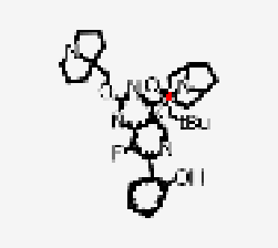 CC(C)(C)OC(=O)N1C2CCC1CN(c1nc(OCC34CCCN3CCC4)nc3c(F)c(-c4ccccc4O)ncc13)C2